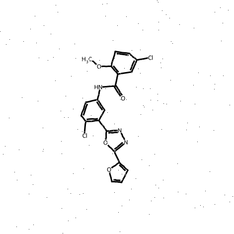 COc1ccc(Cl)cc1C(=O)Nc1ccc(Cl)c(-c2nnc(-c3ccco3)o2)c1